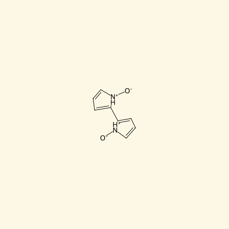 [O-][NH+]1C=CC=C1C1=CC=C[NH+]1[O-]